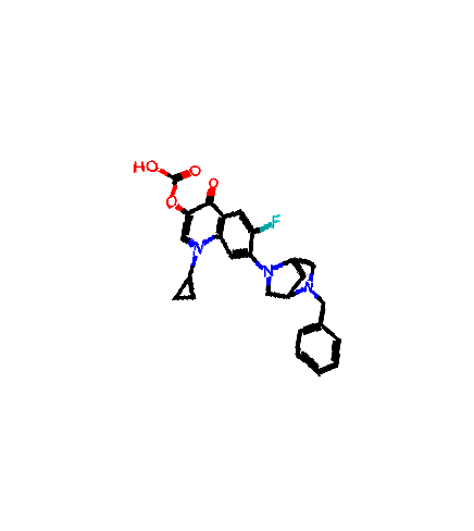 O=C(O)Oc1cn(C2CC2)c2cc(N3CC4CC3CN4Cc3ccccc3)c(F)cc2c1=O